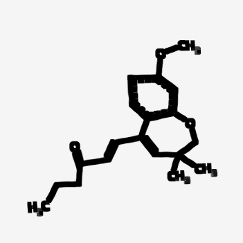 CCCC(=O)C=CC1=CC(C)(C)COc2cc(OC)ccc21